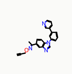 C#CCON=C(C)c1ccc2c(c1)ncn2-c1cccc(-c2cccnc2)c1